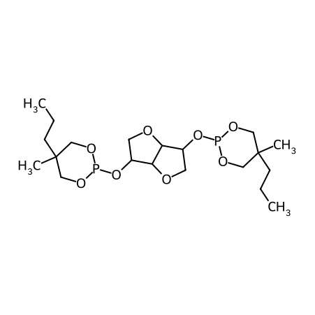 CCCC1(C)COP(OC2COC3C(OP4OCC(C)(CCC)CO4)COC23)OC1